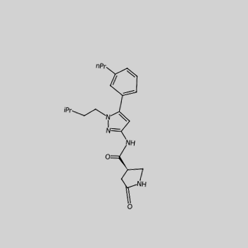 CCCc1cccc(-c2cc(NC(=O)[C@H]3CNC(=O)C3)nn2CCC(C)C)c1